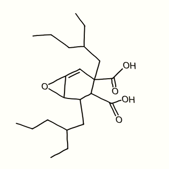 CCCC(CC)CC1C2OC2=CC(CC(CC)CCC)(C(=O)O)C1C(=O)O